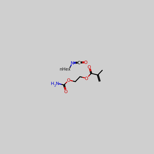 C=C(C)C(=O)OCCOC(N)=O.CCCCCCN=C=O